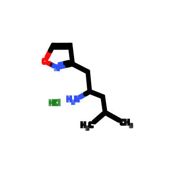 CC(C)CC(N)Cc1ccon1.Cl